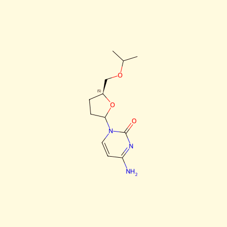 CC(C)OC[C@@H]1CCC(n2ccc(N)nc2=O)O1